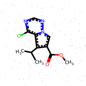 COC(=O)c1cn2ncnc(Cl)c2c1C(C)C